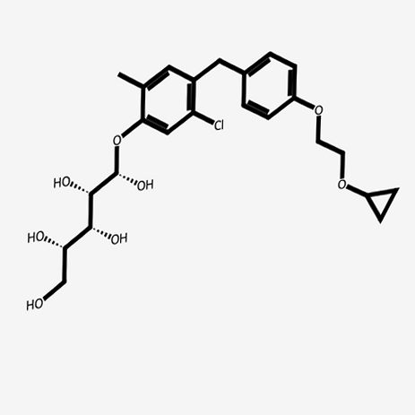 Cc1cc(Cc2ccc(OCCOC3CC3)cc2)c(Cl)cc1O[C@H](O)[C@@H](O)[C@H](O)[C@@H](O)CO